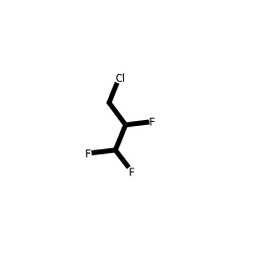 FC(F)C(F)CCl